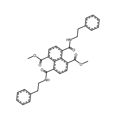 COC(=O)c1ccc(C(=O)NCCc2ccccc2)c2c(C(=O)OC)ccc(C(=O)NCCc3ccccc3)c12